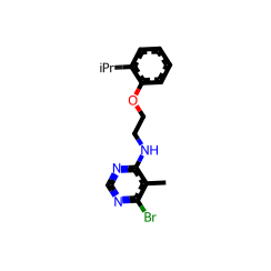 Cc1c(Br)ncnc1NCCOc1ccccc1C(C)C